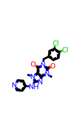 Cn1c(Nc2ccncc2)nc2c1c(=O)n(Cc1ccc(Cl)c(Cl)c1)c(=O)n2C